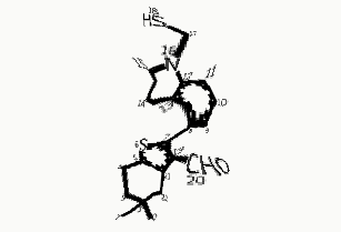 CC1(C)CCc2sc(-c3cccc4c3CCN4CS)c(C=O)c2C1